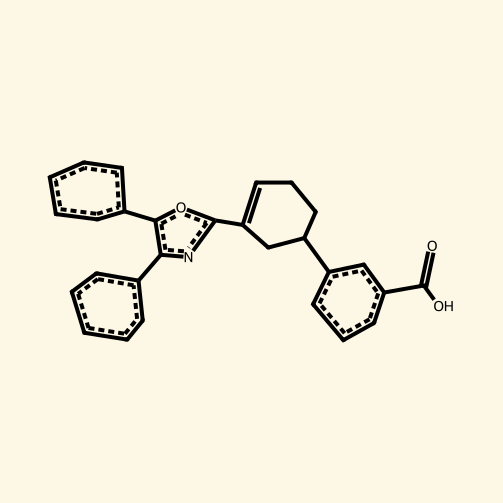 O=C(O)c1cccc(C2CCC=C(c3nc(-c4ccccc4)c(-c4ccccc4)o3)C2)c1